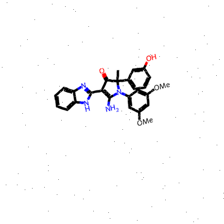 COc1cc(OC)cc(N2C(N)=C(c3nc4ccccc4[nH]3)C(=O)C2(C)c2cccc(O)c2)c1